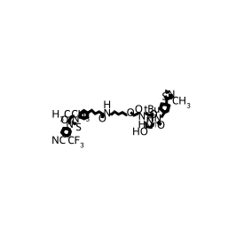 Cc1ncsc1-c1ccc(CNC(=O)[C@@H]2C[C@@H](O)CN2C(=O)C(NC(=O)COCCCCCNC(=O)CCCc2ccc(N3C(=S)N(c4ccc(C#N)c(C(F)(F)F)c4)C(=O)C3(C)C)cc2)C(C)(C)C)cc1